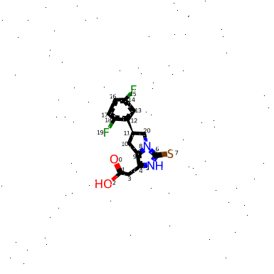 O=C(O)Cc1[nH]c(=S)n2c1C[C@@H](c1cc(F)ccc1F)C2